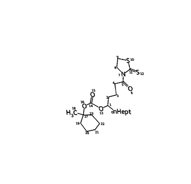 CCCCCCCC(CCCC(=O)N1CCSC1=S)OC(=O)OC1(C)CCCCC1